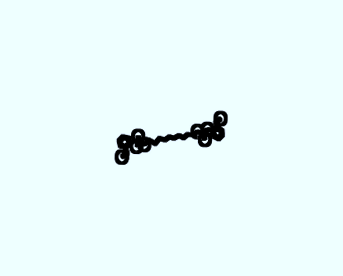 O=[C]c1ccccc1OC(=O)OCCCCCCCCCCOC(=O)Oc1ccccc1[C]=O